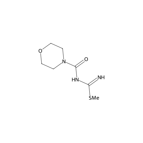 CSC(=N)NC(=O)N1CCOCC1